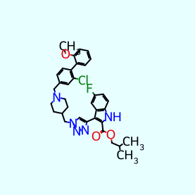 COc1ccccc1-c1ccc(CN2CCC(Cn3cc(-c4c(C(=O)OCC(C)C)[nH]c5ccc(F)cc45)nn3)CC2)cc1Cl